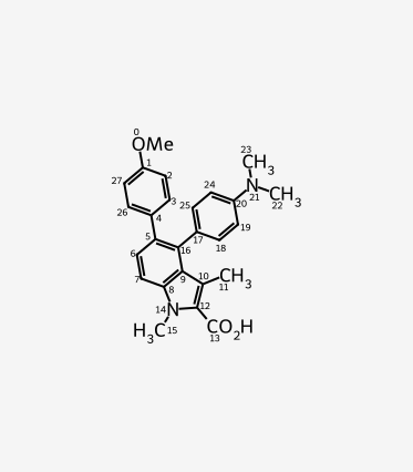 COc1ccc(-c2ccc3c(c(C)c(C(=O)O)n3C)c2-c2ccc(N(C)C)cc2)cc1